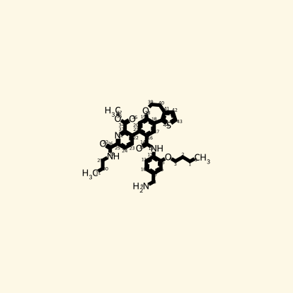 CCCCOc1cc(CN)ccc1NC(=O)c1cc2c(cc1-c1ccc(C(=O)NCCC)nc1C(=O)OC)OCCc1ccsc1-2